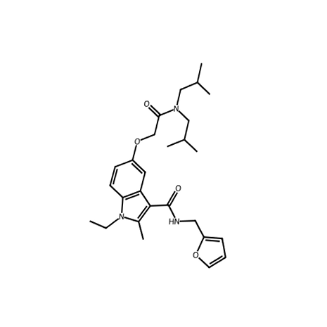 CCn1c(C)c(C(=O)NCc2ccco2)c2cc(OCC(=O)N(CC(C)C)CC(C)C)ccc21